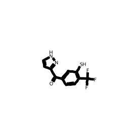 O=C(c1ccc(C(F)(F)F)c(S)c1)c1cc[nH]n1